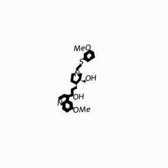 COc1cccc(SCCN2CC[C@@H](CCC(O)c3ccnc4ccc(OC)cc34)[C@@H](CO)C2)c1